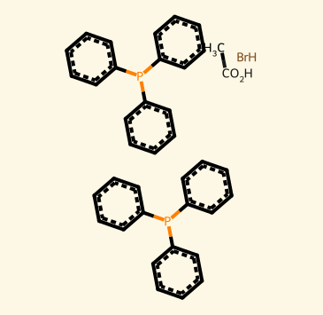 Br.CC(=O)O.c1ccc(P(c2ccccc2)c2ccccc2)cc1.c1ccc(P(c2ccccc2)c2ccccc2)cc1